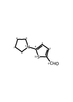 O=Cc1ccc(N2CCCC2)s1